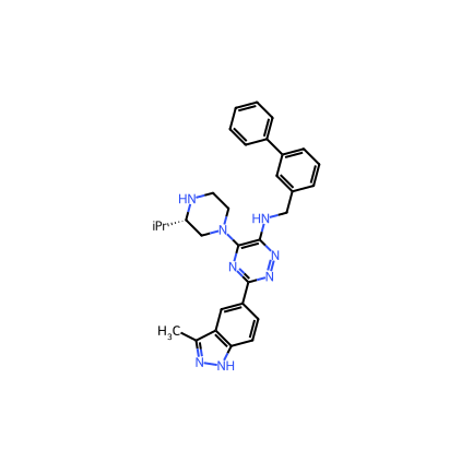 Cc1n[nH]c2ccc(-c3nnc(NCc4cccc(-c5ccccc5)c4)c(N4CCN[C@@H](C(C)C)C4)n3)cc12